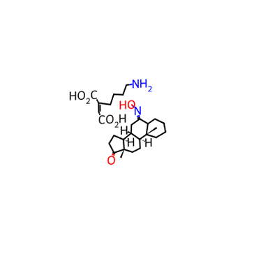 C[C@]12CCCCC1/C(=N/O)C[C@@H]1[C@@H]2CC[C@]2(C)C(=O)CC[C@@H]12.NCCCC/C(=C\C(=O)O)C(=O)O